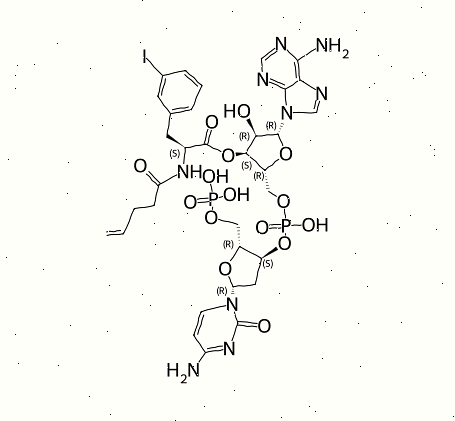 C=CCCC(=O)N[C@@H](Cc1cccc(I)c1)C(=O)O[C@H]1[C@@H](O)[C@H](n2cnc3c(N)ncnc32)O[C@@H]1COP(=O)(O)O[C@H]1C[C@H](n2ccc(N)nc2=O)O[C@@H]1COP(=O)(O)O